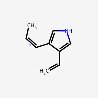 C=Cc1c[nH]cc1/C=C\C